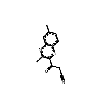 Cc1ccc2nc(C(=O)CC#N)c(C)nc2c1